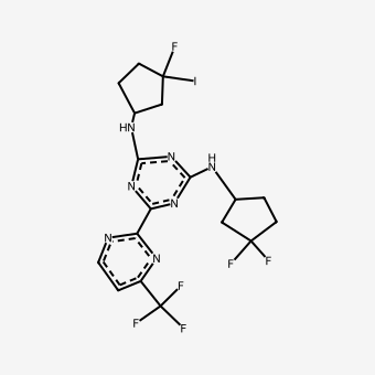 FC1(F)CCC(Nc2nc(NC3CCC(F)(I)C3)nc(-c3nccc(C(F)(F)F)n3)n2)C1